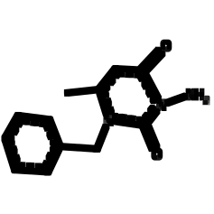 Cc1cc(=O)n(N)c(=O)n1Cc1ccccc1